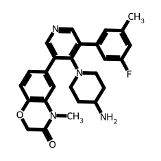 Cc1cc(F)cc(-c2cncc(-c3ccc4c(c3)N(C)C(=O)CO4)c2N2CCC(N)CC2)c1